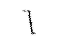 [CH]=CC=CC=CC=CC=CC=CC=CC=CC=CCCCCCCCCCCCC